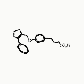 O=C(O)CCCc1ccc(OCC2=C(c3ccccc3)CCC2)cc1